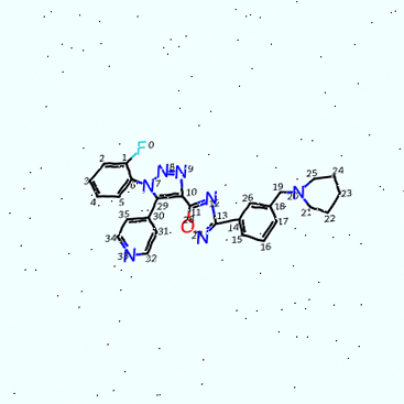 Fc1ccccc1-n1nnc(-c2nc(-c3cccc(CN4CCCCC4)c3)no2)c1-c1ccncc1